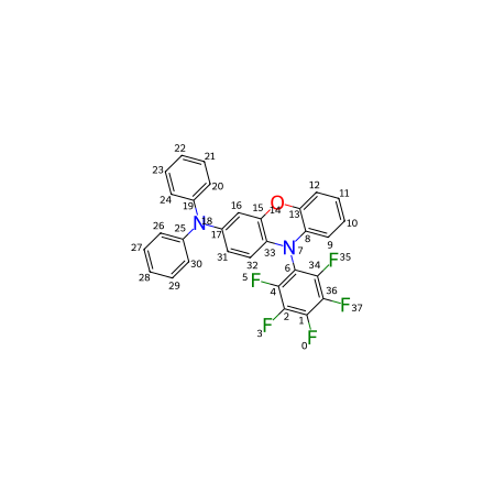 Fc1c(F)c(F)c(N2c3ccccc3Oc3cc(N(c4ccccc4)c4ccccc4)ccc32)c(F)c1F